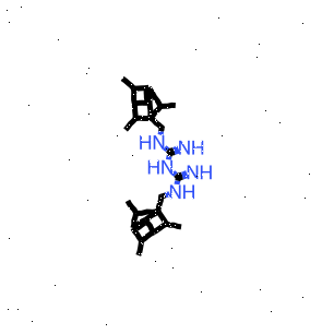 CC1C2=C3C1C(C)C3(CNC(=N)NC(=N)NCC13C4=C(C(C)C4C1C)C3C)C2C